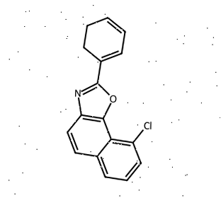 Clc1cccc2ccc3nc(C4=CC=CCC4)oc3c12